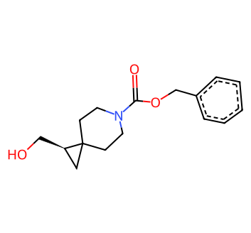 O=C(OCc1ccccc1)N1CCC2(CC1)C[C@H]2CO